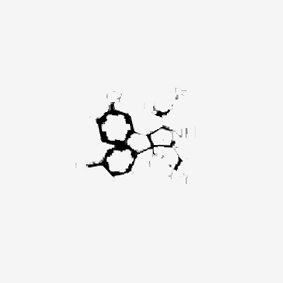 CC(C)C[C@@H]1N[C@@H](C(=O)OC(C)(C)C)[C@H](c2cccc(Cl)c2)[C@@]1(C#N)c1ccc(Cl)cc1